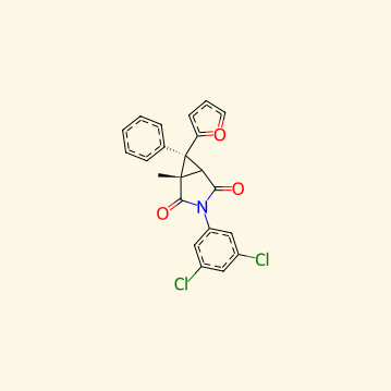 C[C@]12C(=O)N(c3cc(Cl)cc(Cl)c3)C(=O)C1[C@]2(c1ccccc1)c1ccco1